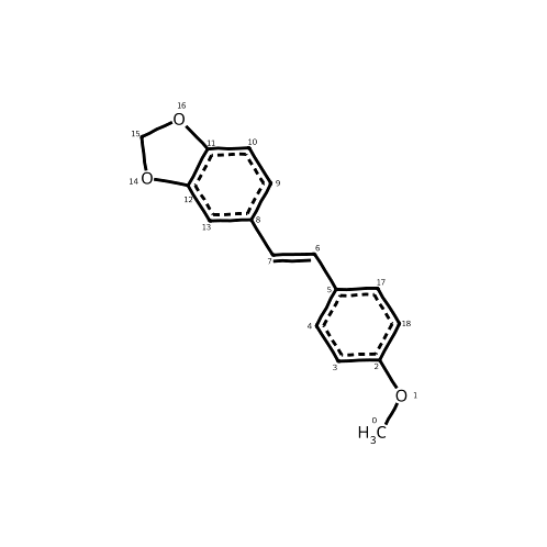 COc1ccc(/C=C/c2ccc3c(c2)OCO3)cc1